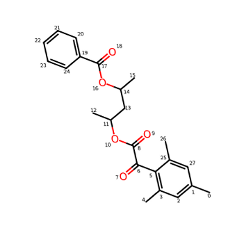 Cc1cc(C)c(C(=O)C(=O)OC(C)CC(C)OC(=O)c2ccccc2)c(C)c1